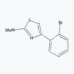 CNc1nc(-c2ccccc2Br)cs1